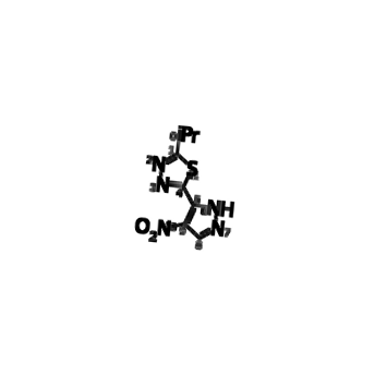 CC(C)c1nnc(-c2[nH]ncc2[N+](=O)[O-])s1